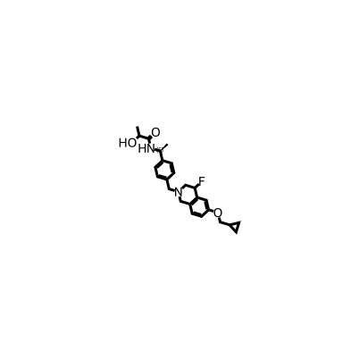 CC(O)C(=O)N[C@@H](C)c1ccc(CN2Cc3ccc(OCC4CC4)cc3C(F)C2)cc1